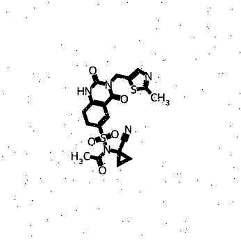 CC(=O)N(C1(C#N)CC1)S(=O)(=O)C1=Cc2c([nH]c(=O)n(Cc3cnc(C)s3)c2=O)CC1